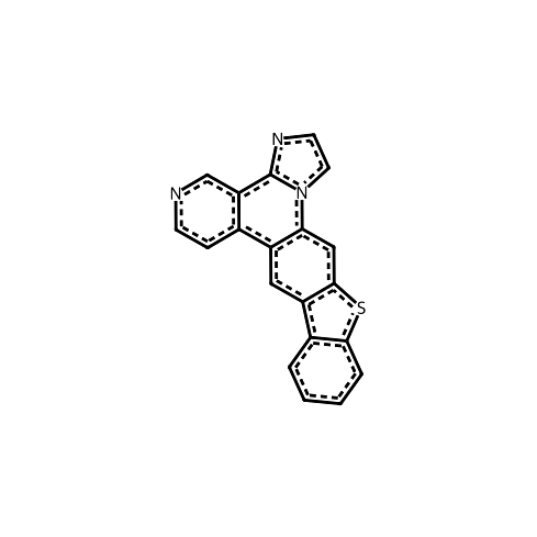 c1ccc2c(c1)sc1cc3c(cc12)c1ccncc1c1nccn31